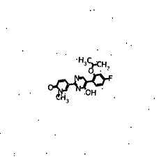 CC(C)Oc1cc(F)ccc1-c1cnc(-c2ccc(=O)n(C)c2)nc1O